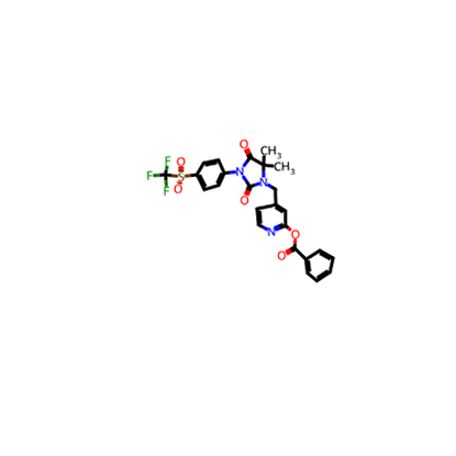 CC1(C)C(=O)N(c2ccc(S(=O)(=O)C(F)(F)F)cc2)C(=O)N1Cc1ccnc(OC(=O)c2ccccc2)c1